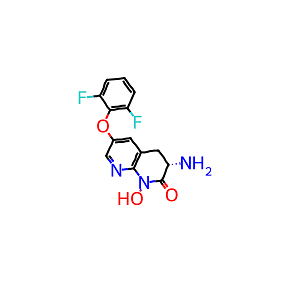 N[C@H]1Cc2cc(Oc3c(F)cccc3F)cnc2N(O)C1=O